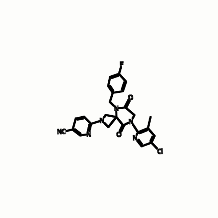 Cc1cc(Cl)cnc1N1CC(=O)N(Cc2ccc(F)cc2)C2(CN(c3ccc(C#N)cn3)C2)C1=O